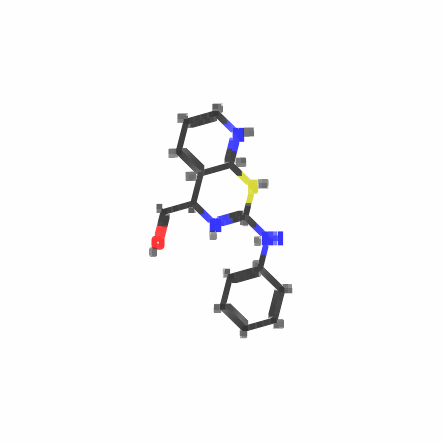 O=CC1N=C(Nc2ccccc2)Sc2ncccc21